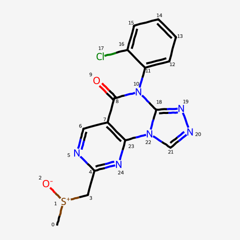 C[S+]([O-])Cc1ncc2c(=O)n(-c3ccccc3Cl)c3nncn3c2n1